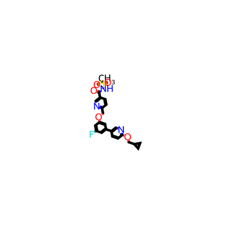 CS(=O)(=O)NC(=O)c1ccc(COc2cc(F)cc(-c3ccc(OCC4CC4)nc3)c2)nc1